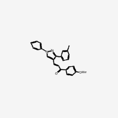 COc1ccc(C(=O)C=Cc2cn(-c3ccccc3)nc2-c2cccc(C)c2)cc1